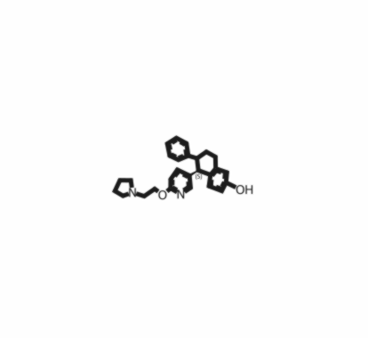 Oc1ccc2c(c1)CCC(c1ccccc1)[C@@H]2c1ccc(OCCN2CCCC2)nc1